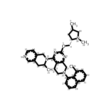 CC1C[C@@H](COc2nc3c(c(N4Cc5ccncc5CC4C)n2)CCN(c2cccc4cccc(Cl)c24)C3)N(C)C1